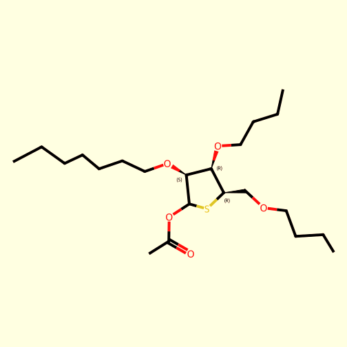 CCCCCCCO[C@@H]1C(OC(C)=O)S[C@H](COCCCC)[C@@H]1OCCCC